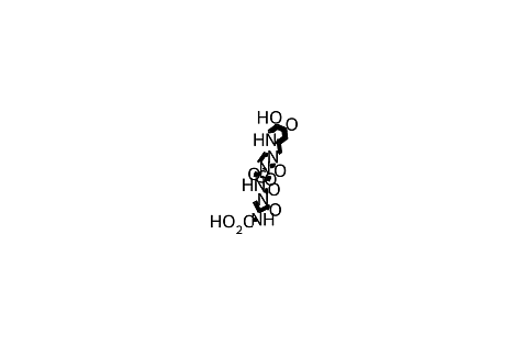 O=C(O)NC1CN(C(=O)NS(=O)(=O)N2CCN(Cc3cc(=O)c(O)c[nH]3)C2=O)C1=O